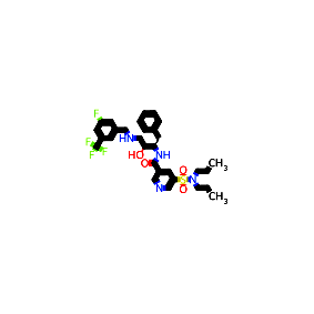 CCCN(CCC)S(=O)(=O)c1cncc(C(=O)N[C@@H](Cc2ccccc2)[C@H](O)CNCc2cc(F)cc(C(F)(F)F)c2)c1